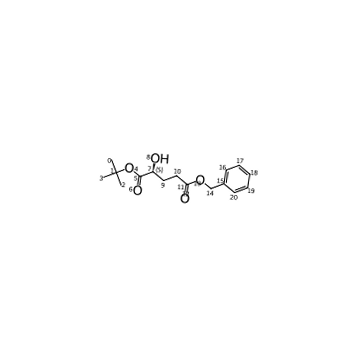 CC(C)(C)OC(=O)[C@@H](O)CCC(=O)OCc1ccccc1